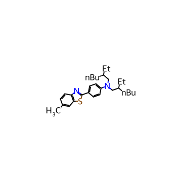 CCCCC(CC)CN(CC(CC)CCCC)c1ccc(-c2nc3ccc(C)cc3s2)cc1